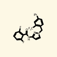 CC(C)c1ccc(Cn2ccc(NC(=O)c3c(F)cccc3F)n2)c(C(F)(F)F)c1